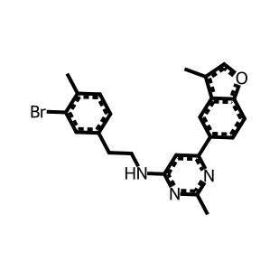 Cc1nc(NCCc2ccc(C)c(Br)c2)cc(-c2ccc3occ(C)c3c2)n1